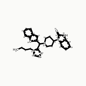 CCCCn1nnnc1C(c1cc2ccccc2o1)N1CCC(n2c(=O)[nH]c3ccccc32)CC1